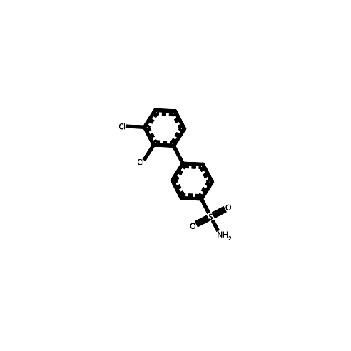 NS(=O)(=O)c1ccc(-c2cccc(Cl)c2Cl)cc1